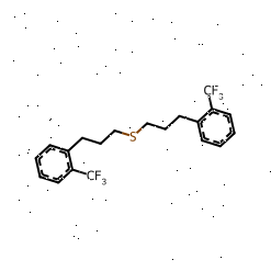 FC(F)(F)c1ccccc1CCCSCCCc1ccccc1C(F)(F)F